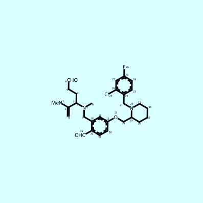 C=C(NC)C(CCC=O)N(C)Cc1cc(OCC2CCCCN2Cc2ccc(F)cc2Cl)ccc1C=O